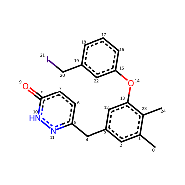 Cc1cc(Cc2ccc(=O)[nH]n2)cc(Oc2cccc(CI)c2)c1C